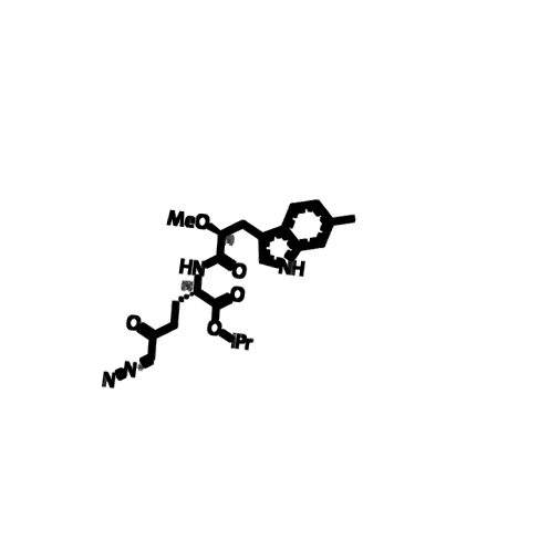 CO[C@@H](Cc1c[nH]c2cc(C)ccc12)C(=O)N[C@@H](CCC(=O)C=[N+]=[N-])C(=O)OC(C)C